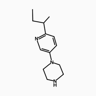 CCC(C)c1ccc(N2CCNCC2)cn1